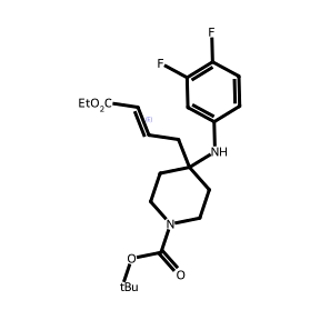 CCOC(=O)/C=C/CC1(Nc2ccc(F)c(F)c2)CCN(C(=O)OC(C)(C)C)CC1